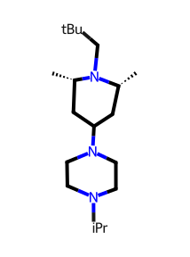 CC(C)N1CCN(C2C[C@@H](C)N(CC(C)(C)C)[C@@H](C)C2)CC1